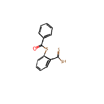 O=C(Sc1ccccc1C(=S)S)c1ccccc1